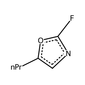 CCCc1cnc(F)o1